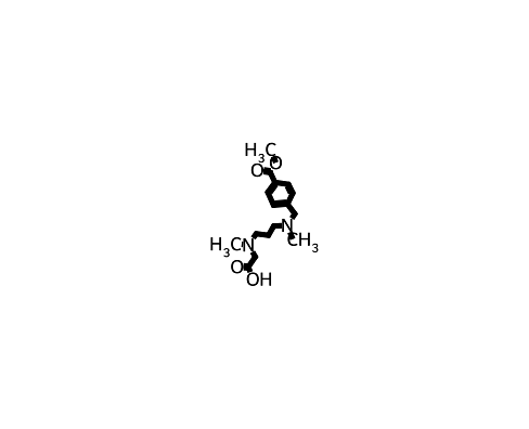 COC(=O)c1ccc(CN(C)CCCN(C)CC(=O)O)cc1